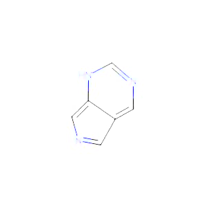 c1ncc2cncc-2[nH]1